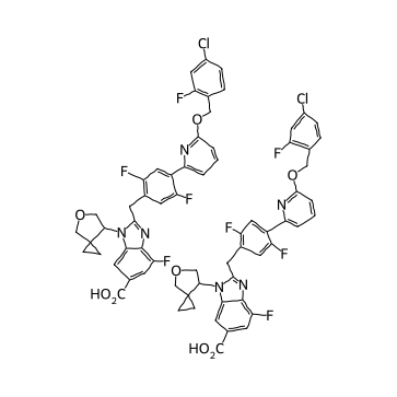 O=C(O)c1cc(F)c2nc(Cc3cc(F)c(-c4cccc(OCc5ccc(Cl)cc5F)n4)cc3F)n(C3COCC34CC4)c2c1.O=C(O)c1cc(F)c2nc(Cc3cc(F)c(-c4cccc(OCc5ccc(Cl)cc5F)n4)cc3F)n(C3COCC34CC4)c2c1